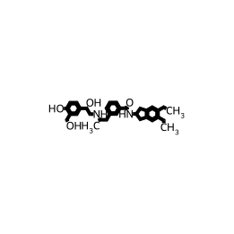 CCc1cc2c(cc1CC)CC(NC(=O)c1cccc(C[C@@H](C)NC[C@@H](O)c3ccc(O)c(CO)c3)c1)C2